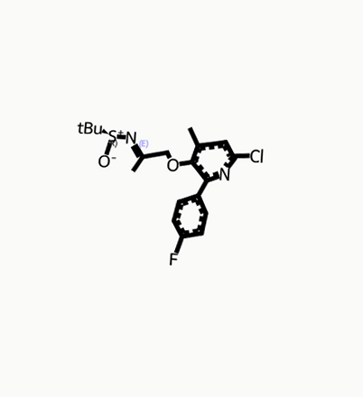 C/C(COc1c(C)cc(Cl)nc1-c1ccc(F)cc1)=N\[S@@+]([O-])C(C)(C)C